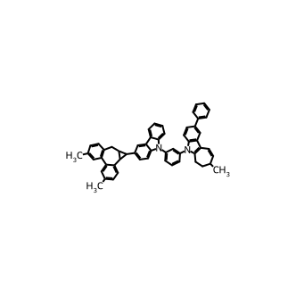 Cc1ccc2c(c1)-c1cc(C)ccc1C1C(C2)C1c1ccc2c(c1)c1ccccc1n2-c1cccc(-n2c3c(c4cc(-c5ccccc5)ccc42)C=CC(C)CC3)c1